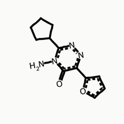 Nn1c(C2CCCC2)nnc(-c2ccco2)c1=O